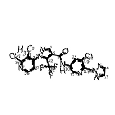 Cc1c(-n2ncc(C(=O)Nc3cnc(-n4nccn4)c(Cl)c3)c2C(F)(F)F)ccnc1Cl